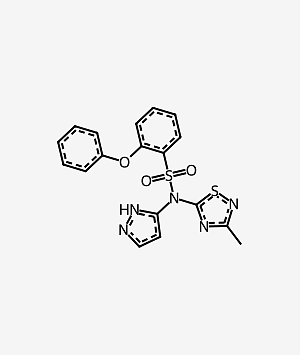 Cc1nsc(N(c2ccn[nH]2)S(=O)(=O)c2ccccc2Oc2ccccc2)n1